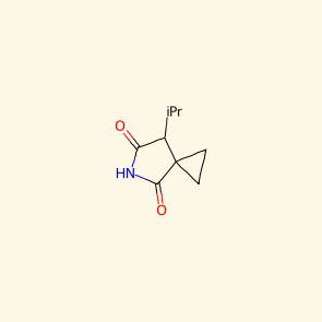 CC(C)C1C(=O)NC(=O)C12CC2